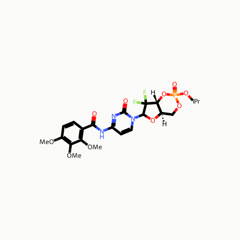 COc1ccc(C(=O)Nc2ccn(C3O[C@@H]4COP(=O)(OC(C)C)O[C@H]4C3(F)F)c(=O)n2)c(OC)c1OC